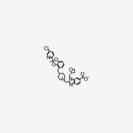 COC(=O)c1ccc2nc(CN3CCC(Cc4cccc5c4OC(C)(c4ccc(Cl)cn4)O5)CC3)n(C[C@@H]3CCO3)c2c1